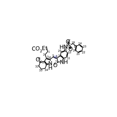 CCOC(=O)CCc1c(/C=C2\C(=O)Nc3ccc(NS(=O)(=O)Cc4ccccc4)cc32)[nH]c2c1C(=O)CCC2